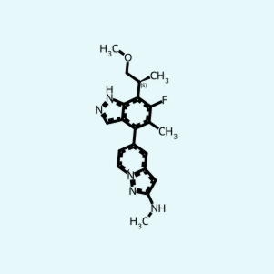 CNc1cc2cc(-c3c(C)c(F)c([C@H](C)COC)c4[nH]ncc34)ccn2n1